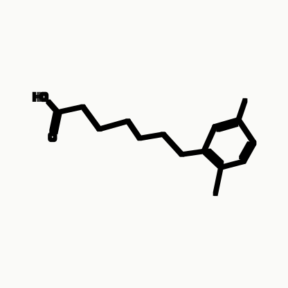 Cc1ccc(C)c(CCCCCCC(=O)O)c1